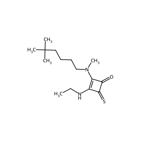 CCNc1c(N(C)CCCCC(C)(C)C)c(=O)c1=S